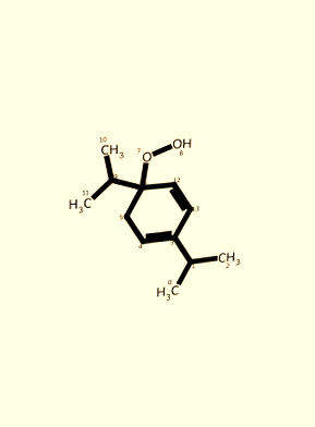 CC(C)C1=CCC(OO)(C(C)C)C=C1